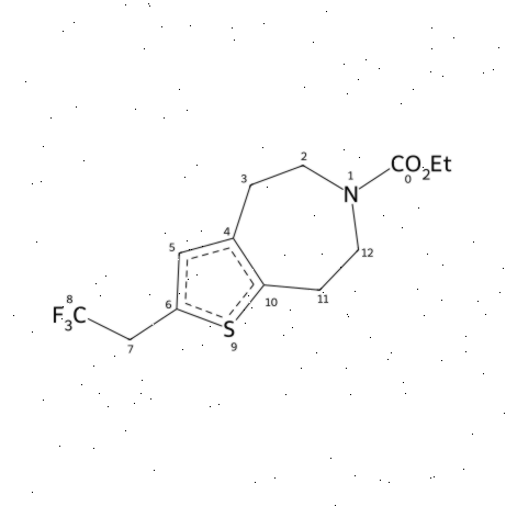 CCOC(=O)N1CCc2cc(CC(F)(F)F)sc2CC1